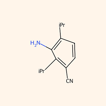 CC(C)c1ccc(C#N)c(C(C)C)c1N